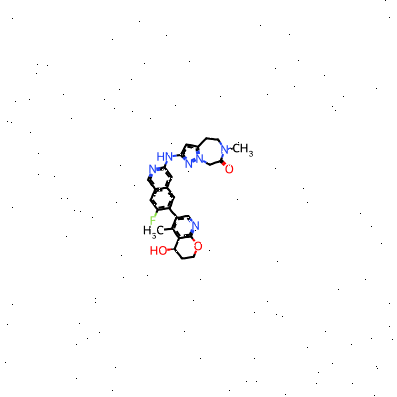 Cc1c(-c2cc3cc(Nc4cc5n(n4)CC(=O)N(C)CC5)ncc3cc2F)cnc2c1[C@H](O)CCO2